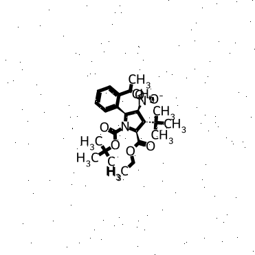 CCOC(=O)[C@@H]1[C@@H](C(C)(C)C)[C@H]([N+](=O)[O-])[C@H](c2ccccc2C(C)C)N1C(=O)OC(C)(C)C